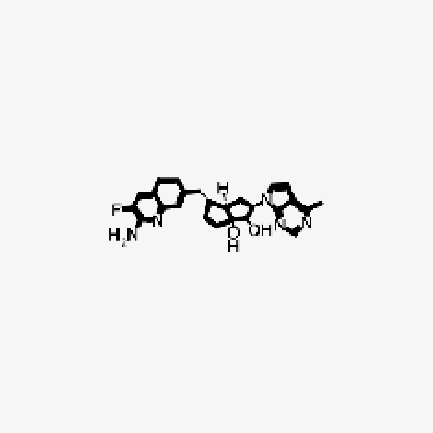 Cc1ncnc2c1ccn2[C@@H]1C[C@@H]2[C@@H](Cc3ccc4cc(F)c(N)nc4c3)CC[C@]2(O)[C@H]1O